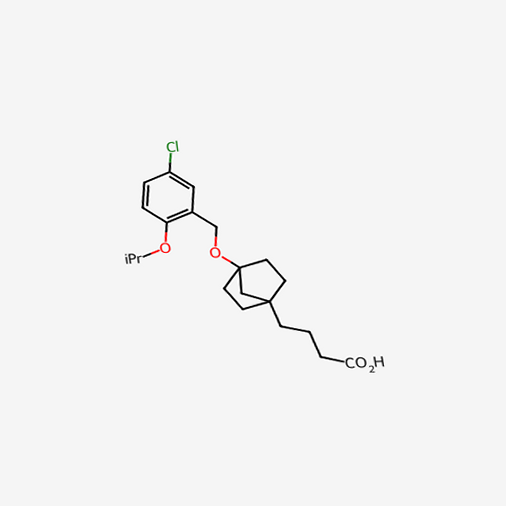 CC(C)Oc1ccc(Cl)cc1COC12CCC(CCCC(=O)O)(CC1)C2